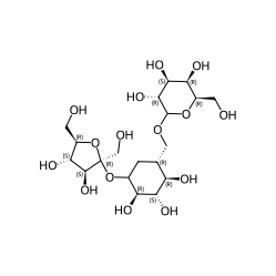 OC[C@H]1OC(OC[C@H]2CC(O[C@]3(CO)O[C@H](CO)[C@@H](O)[C@@H]3O)[C@H](O)[C@@H](O)[C@@H]2O)[C@H](O)[C@@H](O)[C@H]1O